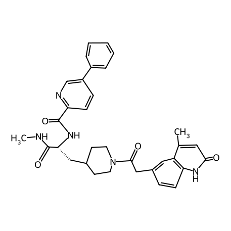 CNC(=O)[C@@H](CC1CCN(C(=O)Cc2ccc3[nH]c(=O)cc(C)c3c2)CC1)NC(=O)c1ccc(-c2ccccc2)cn1